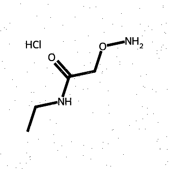 CCNC(=O)CON.Cl